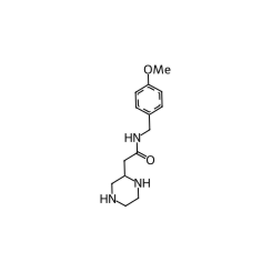 COc1ccc(CNC(=O)CC2CNCCN2)cc1